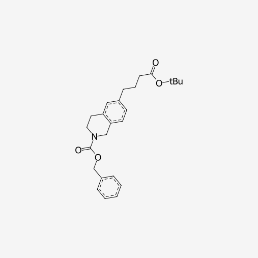 CC(C)(C)OC(=O)CCCc1ccc2c(c1)CCN(C(=O)OCc1ccccc1)C2